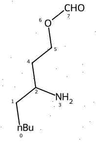 CCCCCC(N)CCOC=O